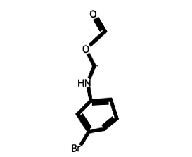 O=CO[CH]Nc1cccc(Br)c1